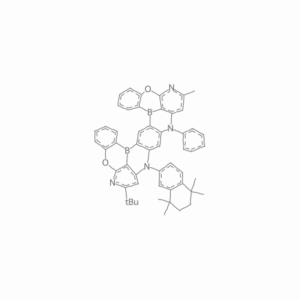 Cc1cc2c3c(n1)Oc1ccccc1B3c1cc3c(cc1N2c1ccccc1)N(c1ccc2c(c1)C(C)(C)CCC2(C)C)c1cc(C(C)(C)C)nc2c1B3c1ccccc1O2